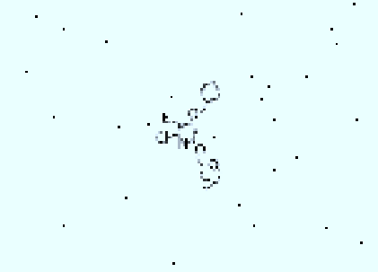 CCc1c(OCc2ccccc2)cc(OCC2COCCO2)nc1Cl